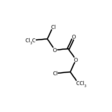 O=C(OC(Cl)C(Cl)(Cl)Cl)OC(Cl)C(Cl)(Cl)Cl